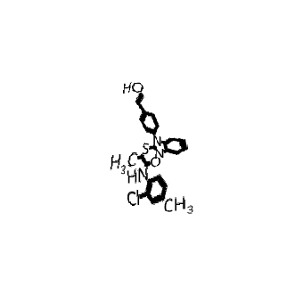 Cc1ccc(NC(=O)C(C)Sc2nc3ccccc3n2-c2ccc(CCO)cc2)c(Cl)c1